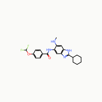 CNc1cc2[nH]c(C3CCCCC3)nc2cc1NC(=O)c1ccc(OC(F)F)cc1